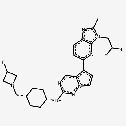 Cc1nc2ccc(-c3ccn4nc(N[C@H]5CC[C@@H](CN6CC(F)C6)CC5)ncc34)nc2n1CC(F)F